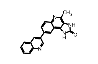 Cc1nc2ccc(-c3cnc4ccccc4c3)cc2c2[nH]c(=O)[nH]c12